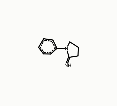 N=C1CCCN1c1ccccc1